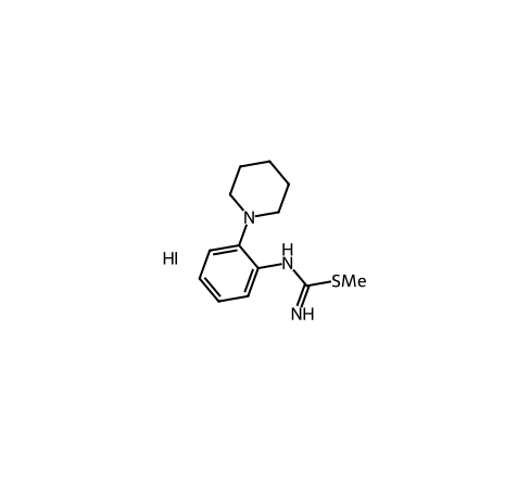 CSC(=N)Nc1ccccc1N1CCCCC1.I